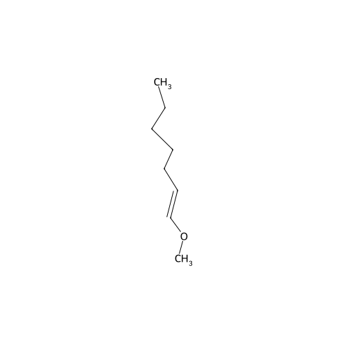 CCCCC/C=C/OC